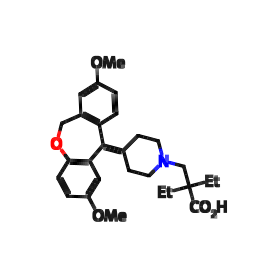 CCC(CC)(CN1CCC(=C2c3ccc(OC)cc3COc3ccc(OC)cc32)CC1)C(=O)O